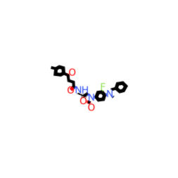 Cc1ccc(C(=O)CCC(=O)NC[C@H]2CN(c3ccc(N(C)Cc4ccccc4)c(F)c3)C(=O)O2)cc1